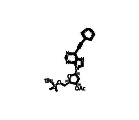 CC(=O)O[C@H]1C[C@H](n2cnc3c(C#Cc4ccccc4)ncnc32)O[C@@H]1CO[Si](C)(C)C(C)(C)C